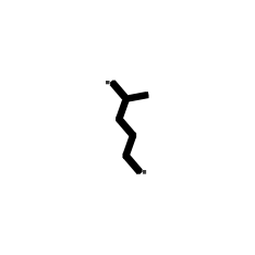 [CH2]CCCC([CH2])C